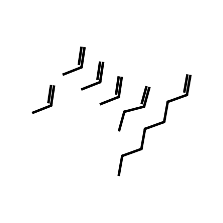 C=CC.C=CC.C=CC.C=CC.C=CCC.C=CCCCCCC